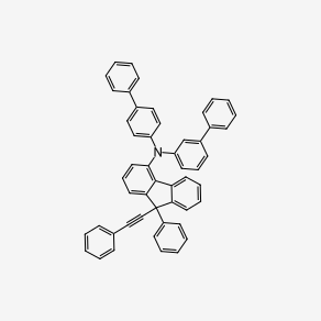 C(#CC1(c2ccccc2)c2ccccc2-c2c(N(c3ccc(-c4ccccc4)cc3)c3cccc(-c4ccccc4)c3)cccc21)c1ccccc1